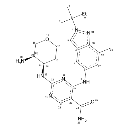 CCC(C)(C)n1cc2cc(Nc3nc(N[C@@H]4CCOC[C@@H]4N)nnc3C(N)=O)cc(C)c2n1